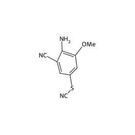 COc1cc(SC#N)cc(C#N)c1N